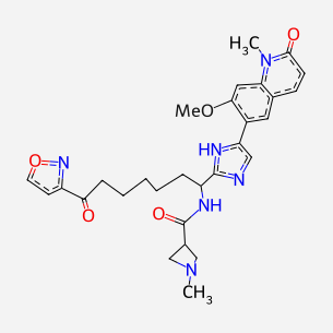 COc1cc2c(ccc(=O)n2C)cc1-c1cnc(C(CCCCCC(=O)c2ccon2)NC(=O)C2CN(C)C2)[nH]1